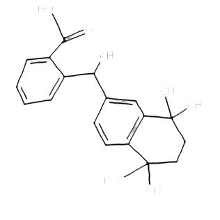 CC(c1ccc2c(c1)C(C)(C)CCC2(C)C)c1ccccc1C(=O)O